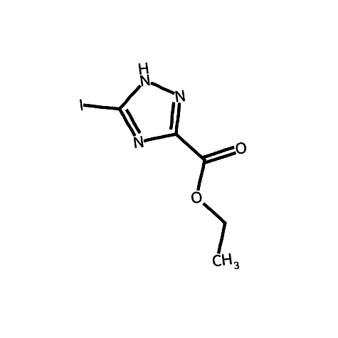 CCOC(=O)c1n[nH]c(I)n1